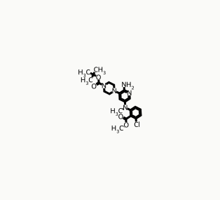 COC(=O)c1c(Cl)cccc1N(C)c1cnc(N)c(N2CCN(C(=O)OC(C)(C)C)CC2)c1